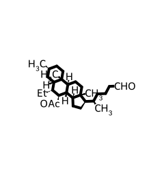 CC[C@H]1[C@@H](OC(C)=O)[C@@H]2[C@H](CC[C@]3(C)[C@@H]([C@H](C)CCCC=O)CC[C@@H]23)[C@@]2(C)CC[C@@H](C)C[C@@H]12